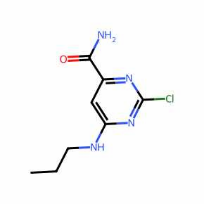 CCCNc1cc(C(N)=O)nc(Cl)n1